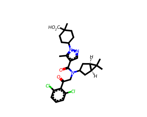 Cc1c(C(=O)N(CC(=O)c2c(Cl)cccc2Cl)C2C[C@@H]3[C@H](C2)C3(C)C)cnn1C1CCC(C)(C(=O)O)CC1